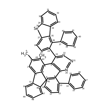 Cc1cc2c(c(-c3c(-c4ccccc4-c4ccccc4)nnnc3-c3ccc4[se]c5ccccc5c4c3-c3ccccc3)c1C)Cc1ccccc1-2